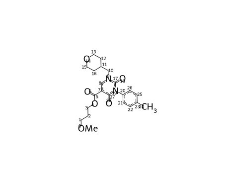 COCCCOC(=O)c1cn(CC2CCOCC2)c(=O)n(-c2ccc(C)cc2)c1=O